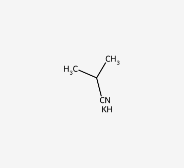 CC(C)C#N.[KH]